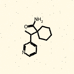 CC(c1cccnc1)C1(C(N)=O)CCCCC1